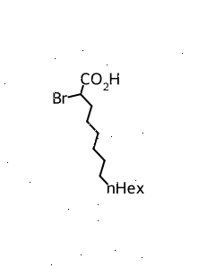 CCCCCCCCCCCCC(Br)C(=O)O